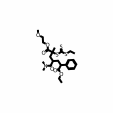 CCOC(=O)C(CC(CC(C)(SC(=S)SCC)C(=O)OCCOC)C(=O)N(C)C)c1ccccc1